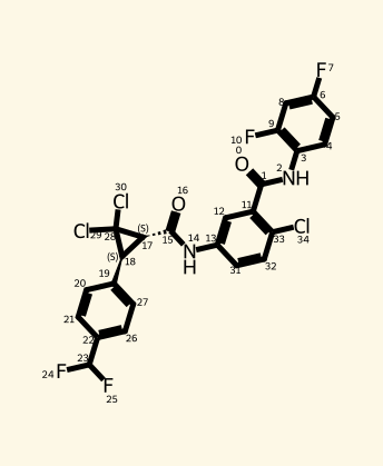 O=C(Nc1ccc(F)cc1F)c1cc(NC(=O)[C@@H]2[C@@H](c3ccc(C(F)F)cc3)C2(Cl)Cl)ccc1Cl